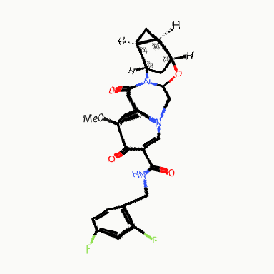 COc1c2n(cc(C(=O)NCc3ccc(F)cc3F)c1=O)CC1O[C@@H]3C[C@@H]([C@H]4C[C@H]43)N1C2=O